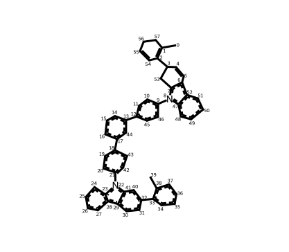 CC1=C(C2C=Cc3c(n(-c4ccc(-c5cccc(-c6ccc(-n7c8ccccc8c8ccc(-c9ccccc9C)cc87)cc6)c5)cc4)c4ccccc34)C2)C=CCC1